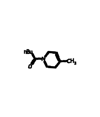 CCCCC(=O)N1CC=C(C)CC1